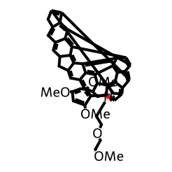 COCCOCCN1CC2C3=c4c5c6c7c8c9c(cc%10c%11c%12c%13c%14c(cc%15c%16c(c4c6c(c%16%14)c%13c7c%119)=C(C3)C%15)=CC%12C%10)=CC3CC2(C=5C83)C1c1c(OC)cc(OC)cc1OC